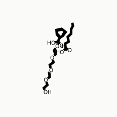 CCCCCCCC(=O)O.O=C(O)c1ccccc1.OCCOCCOCCOCCO